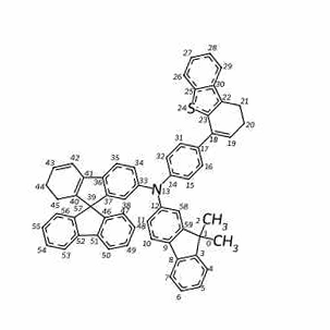 CC1(C)c2ccccc2-c2ccc(N(c3ccc(C4=CCCc5c4sc4ccccc54)cc3)c3ccc4c(c3)C3(C5=C4C=CCC5)c4ccccc4-c4ccccc43)cc21